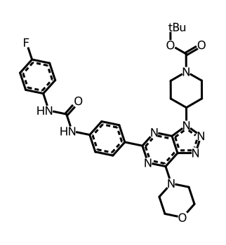 CC(C)(C)OC(=O)N1CCC(n2nnc3c(N4CCOCC4)nc(-c4ccc(NC(=O)Nc5ccc(F)cc5)cc4)nc32)CC1